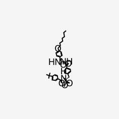 CCCCCCCOc1ccc(C(=N)NOC(=O)c2ccc(C[C@H](NC(=O)c3ccc(C(C)(C)C)cc3)C(=O)OC)cc2)cc1